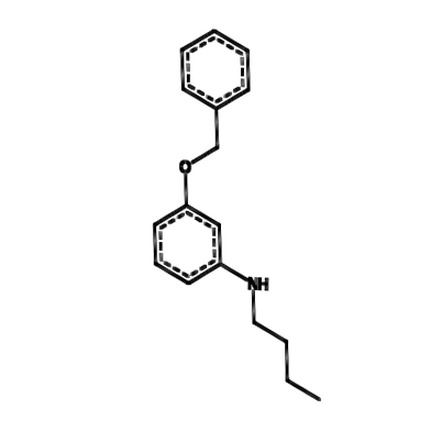 CCCCNc1cccc(OCc2ccccc2)c1